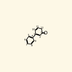 O=C1[C]=C(c2ccccc2)C=CC1